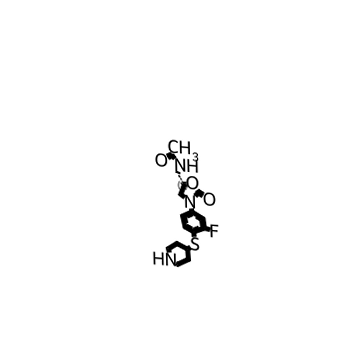 CC(=O)NC[C@H]1CN(c2ccc(SC3CCNCC3)c(F)c2)C(=O)O1